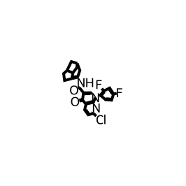 O=C(NC1=C2CCC3CC(C1)CC23)c1cn(-c2ccc(F)cc2F)c2nc(Cl)ccc2c1=O